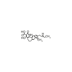 CCNCCc1cc2cc3c(cc2n1C)CCCc1c-3[nH]c(=O)c(C(=O)O)c1O